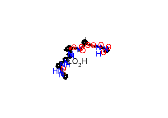 Cc1c(-c2ccc(-c3cc4cccc(C(=O)Nc5nc6ccccc6s5)c4[nH]3)nc2C(=O)O)cnn1CC12CC3(C)CC(C)(C1)CC(OCCN(C)C(=O)OCc1cc[c]cc1OCCOCCNC(=O)CCN1C(=O)C=CC1=O)(C3)C2